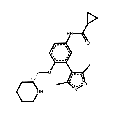 Cc1noc(C)c1-c1cc(NC(=O)C2CC2)ccc1OC[C@H]1CCCCN1